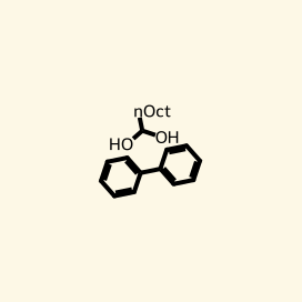 CCCCCCCCC(O)O.c1ccc(-c2ccccc2)cc1